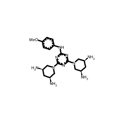 COc1ccc(Nc2nc(N3C[C@H](N)C[C@H](N)C3)nc(N3C[C@H](N)C[C@H](N)C3)n2)cc1